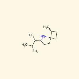 CC(C)C(C)C1CCC2(CC[C@@H]2C)N1